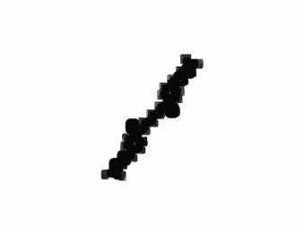 CC(C)OCOCC1CCN(C(=O)CCCCCCC(=O)N2CCC(COCOC(C)C)CC2)CC1